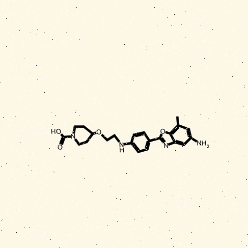 Cc1cc(N)cc2nc(-c3ccc(NCCOC4CCN(C(=O)O)CC4)cc3)oc12